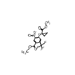 COC(=O)c1cc([N+](=O)[O-])c(OC2(C(=O)OC)CC2)cc1C(F)(F)F